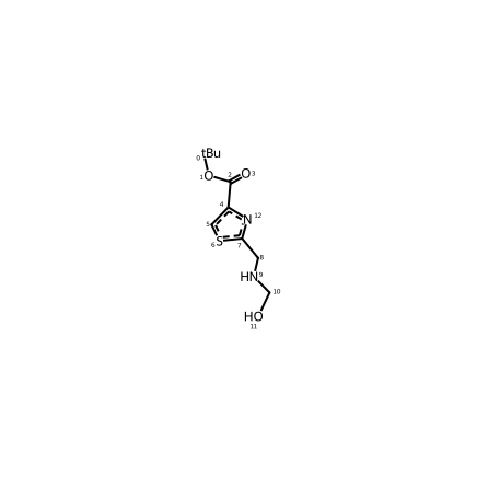 CC(C)(C)OC(=O)c1csc(CNCO)n1